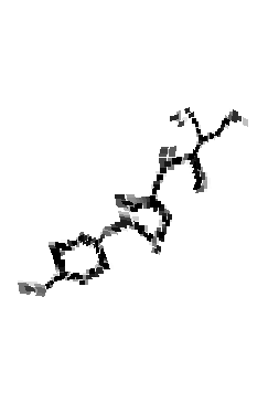 CCc1ccc(-c2nc(NC(=O)C(N)CC(C)C)cs2)cn1